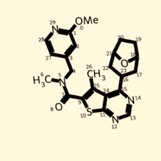 COc1cc(CN(C)C(=O)c2sc3ncnc(C4CC5CCC(C4)O5)c3c2C)ccn1